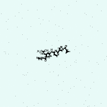 CC(C)Nc1cc(Nc2ccnc(-c3cnn(C(=O)C4CC4)c3)n2)ncc1C(=O)NCC#N